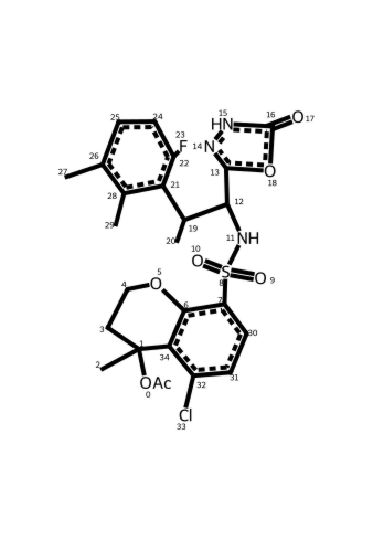 CC(=O)OC1(C)CCOc2c(S(=O)(=O)NC(c3n[nH]c(=O)o3)C(C)c3c(F)ccc(C)c3C)ccc(Cl)c21